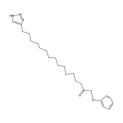 O=C(CCCCCCCCCCCCCCc1c[nH]nn1)COc1ccccc1